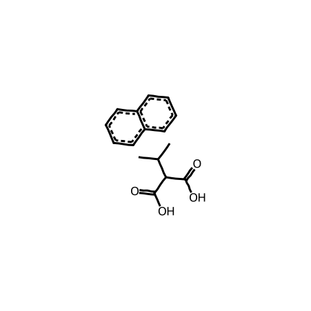 CC(C)C(C(=O)O)C(=O)O.c1ccc2ccccc2c1